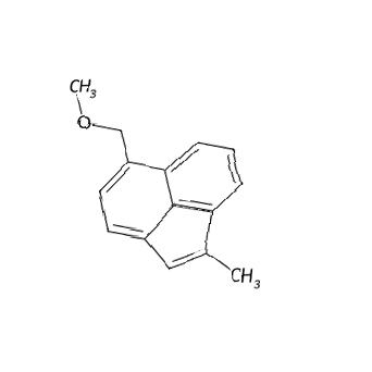 COCc1ccc2c3c(cccc13)C(C)=C2